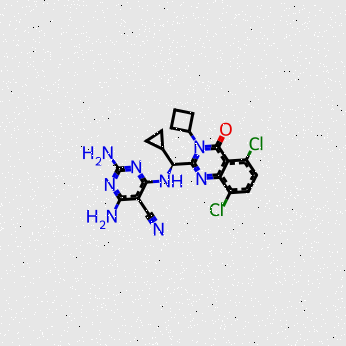 N#Cc1c(N)nc(N)nc1N[C@H](c1nc2c(Cl)ccc(Cl)c2c(=O)n1C1CCC1)C1CC1